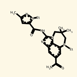 CCN1CC(C)(C)Cn2c(NC(=O)c3cc(C)nn3CC)nc3cc(C(N)=O)cc1c32